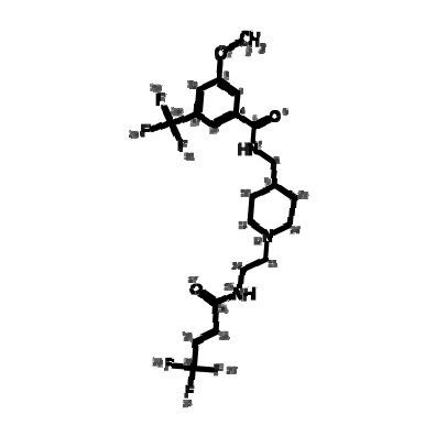 COc1cc(C(=O)NCC2CCN(CCNC(=O)CCC(F)(F)F)CC2)cc(C(F)(F)F)c1